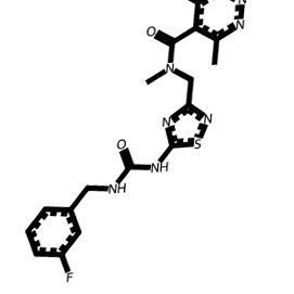 Cc1cnnc(C)c1C(=O)N(C)Cc1nsc(NC(=O)NCc2cccc(F)c2)n1